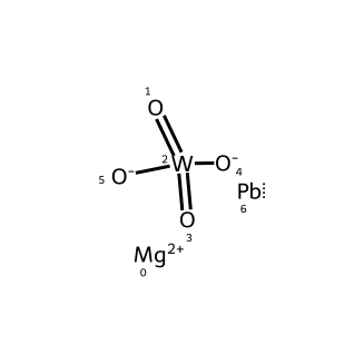 [Mg+2].[O]=[W](=[O])([O-])[O-].[Pb]